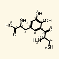 NC(Cc1cc(O)c(O)c(C(=O)C(N)CS)c1)C(=O)O